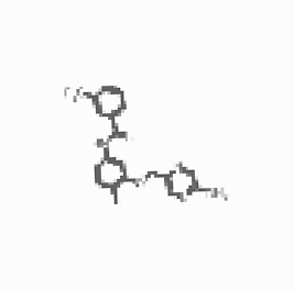 Cc1ccc(NC(=O)c2cccc(C(F)(F)F)c2)cc1OCc1cnc(N)cn1